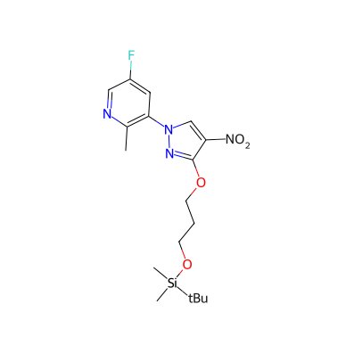 Cc1ncc(F)cc1-n1cc([N+](=O)[O-])c(OCCCO[Si](C)(C)C(C)(C)C)n1